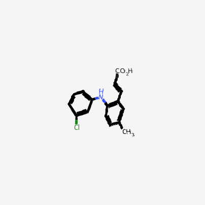 Cc1ccc(Nc2cccc(Cl)c2)c(/C=C/C(=O)O)c1